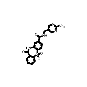 O=C(NCc1cnc(C(F)(F)F)nc1)c1ccc2c(c1)NC(=O)c1ccccc1S2(=O)=O